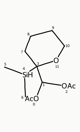 CC(=O)OC(OC(C)=O)C1([SiH](C)C)CCCCO1